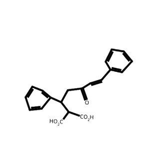 O=C(C=Cc1ccccc1)CC(c1ccccc1)C(C(=O)O)C(=O)O